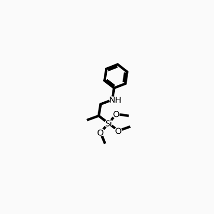 CO[Si](OC)(OC)C(C)CNc1ccccc1